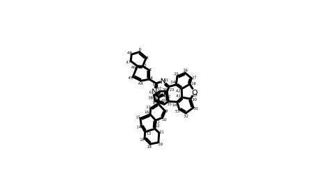 C1=Cc2cc(-c3nc(-c4ccc5c6c(ccc5c4)C=CCC6)nc(-c4cccc5oc6cccc(-c7ccccc7)c6c45)n3)ccc2CC1